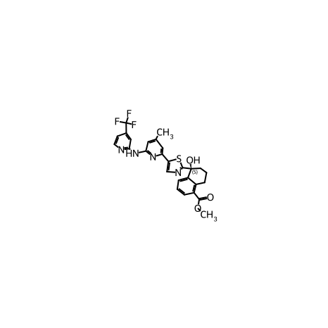 COC(=O)c1cccc2c1CCC[C@@]2(O)c1ncc(-c2cc(C)cc(Nc3cc(C(F)(F)F)ccn3)n2)s1